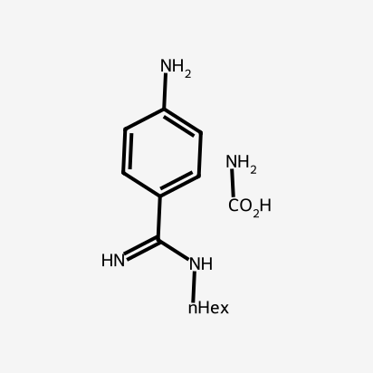 CCCCCCNC(=N)c1ccc(N)cc1.NC(=O)O